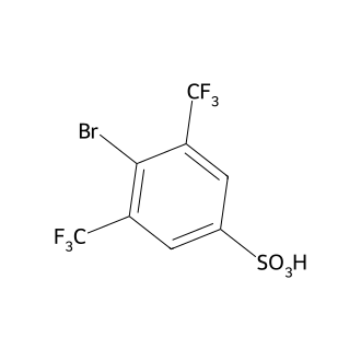 O=S(=O)(O)c1cc(C(F)(F)F)c(Br)c(C(F)(F)F)c1